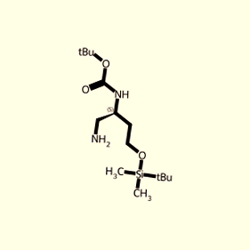 CC(C)(C)OC(=O)N[C@H](CN)CCO[Si](C)(C)C(C)(C)C